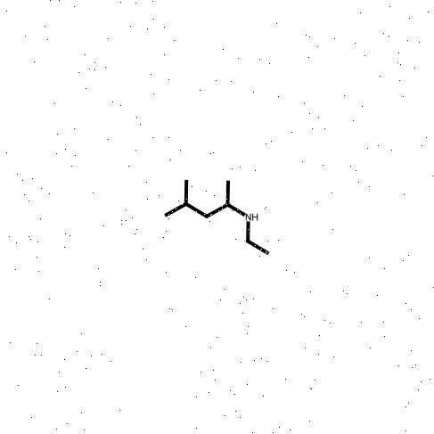 C[CH]NC(C)CC(C)C